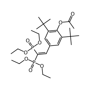 CCOP(=O)(OCC)C(=Cc1cc(C(C)(C)C)c(OC(C)=O)c(C(C)(C)C)c1)P(=O)(OCC)OCC